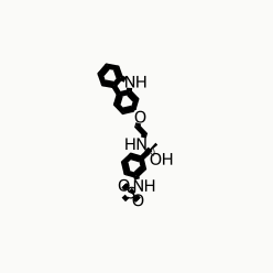 C[C@](O)(NCCOc1ccc2c(c1)[nH]c1ccccc12)c1cccc(NS(C)(=O)=O)c1